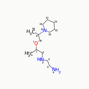 CC(CNCCN)OCC(C)N1CCCCC1